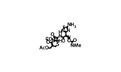 CNC(=O)O/N=C(\C(=O)N[C@@H]1C(=O)N2C(OC(=O)O)=C(COC(C)=O)CS[C@@H]12)c1nsc(N)n1